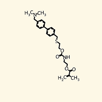 C=C(C)C(=O)OCCNC(=O)OCCSCc1ccc(-c2ccc(CN(C)C)cc2)cc1